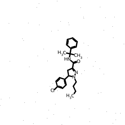 CCCCN1N=C(C(=O)NC(C)(C)c2ccccc2)CC1c1ccc(Cl)cc1